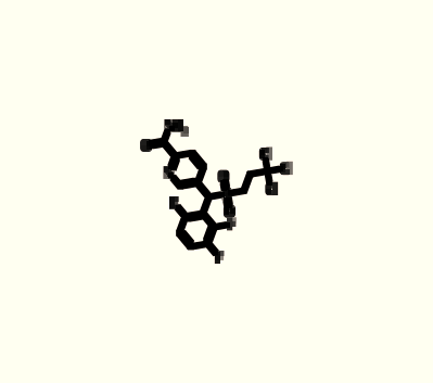 NC(=O)c1ccc(C(c2c(F)ccc(F)c2F)S(=O)(=O)CCC(Cl)(Cl)Cl)cn1